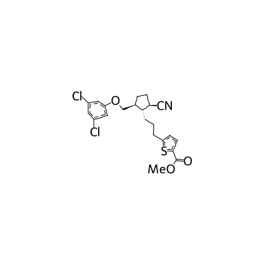 COC(=O)c1ccc(CCC[C@@H]2[C@@H](COc3cc(Cl)cc(Cl)c3)CC[C@H]2C#N)s1